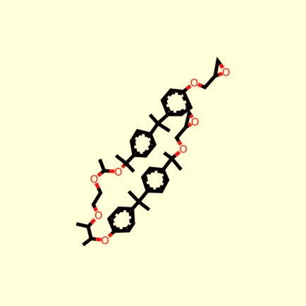 CC(OCCOC(C)C(C)Oc1ccc(C(C)(C)c2ccc(C(C)(C)OCC3CO3)cc2)cc1)OC(C)(C)c1ccc(C(C)(C)c2ccc(OCC3CO3)cc2)cc1